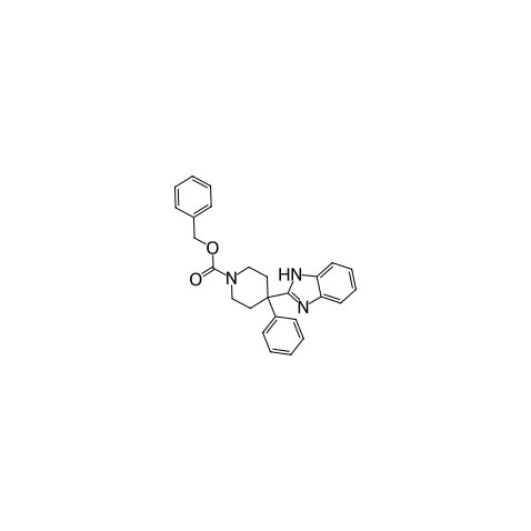 O=C(OCc1ccccc1)N1CCC(c2ccccc2)(c2nc3ccccc3[nH]2)CC1